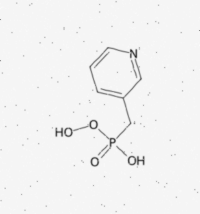 O=P(O)([CH]c1cccnc1)OO